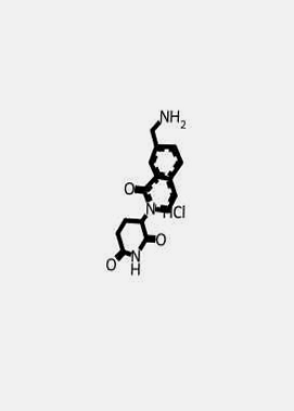 Cl.NCc1ccc2ccn(C3CCC(=O)NC3=O)c(=O)c2c1